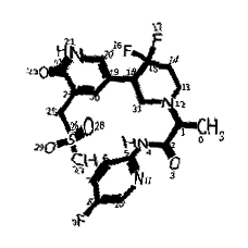 CC(C(=O)Nc1ccc(F)cn1)N1CCC(F)(F)C(c2c[nH]c(=O)c(CS(C)(=O)=O)c2)C1